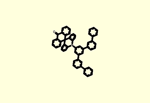 O=C1c2ccccc2C2(c3ccccc31)c1ccccc1N(c1cc(-c3cccc(-c4ccccc4)c3)cc(-c3cccc(-c4ccccc4)c3)c1)c1ccccc12